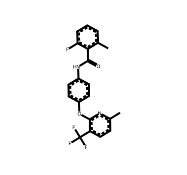 Cc1ccc(C(F)(F)F)c(Oc2ccc(NC(=O)c3c(C)cccc3F)cc2)n1